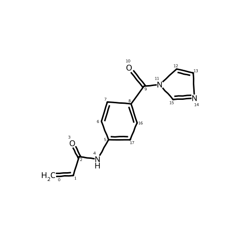 C=CC(=O)Nc1ccc(C(=O)n2ccnc2)cc1